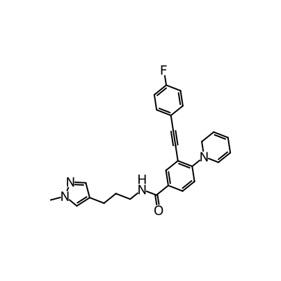 Cn1cc(CCCNC(=O)c2ccc(N3C=CC=CC3)c(C#Cc3ccc(F)cc3)c2)cn1